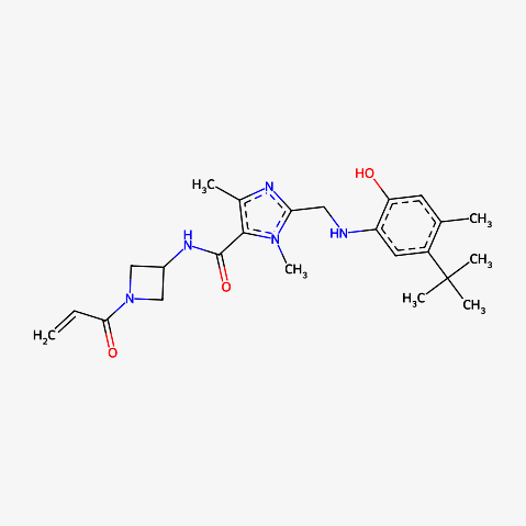 C=CC(=O)N1CC(NC(=O)c2c(C)nc(CNc3cc(C(C)(C)C)c(C)cc3O)n2C)C1